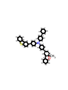 CC12CC=C(c3ccc(N(c4ccc(-c5ccccc5)cc4)c4ccc(-c5ccc6sc7ccccc7c6c5)cc4)cc3)C=C1c1ccccc1O2